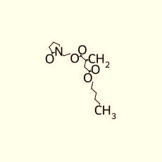 C=C(CC(=O)OCCCCCC)C(=O)OCCN1CCCC1=O